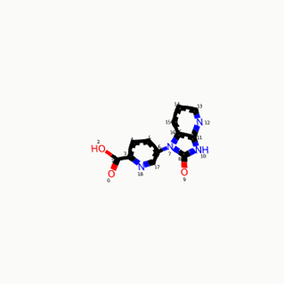 O=C(O)c1ccc(-n2c(=O)[nH]c3ncccc32)cn1